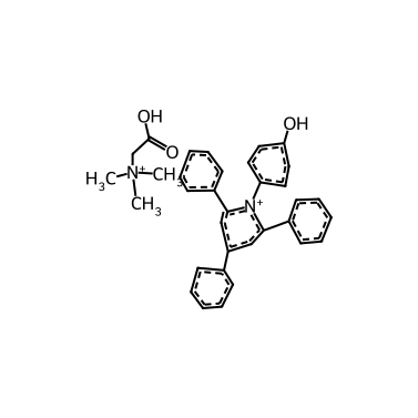 C[N+](C)(C)CC(=O)O.Oc1ccc(-[n+]2c(-c3ccccc3)cc(-c3ccccc3)cc2-c2ccccc2)cc1